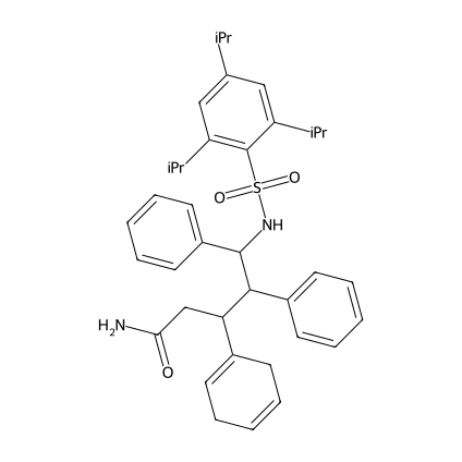 CC(C)c1cc(C(C)C)c(S(=O)(=O)NC(c2ccccc2)C(c2ccccc2)C(CC(N)=O)C2=CCC=CC2)c(C(C)C)c1